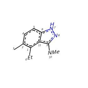 CCc1c(C)ccc2[nH]nc(NC)c12